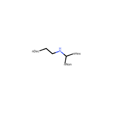 CCCCCCCCCCCCNC(CCCCCC)CCCCCCCCC